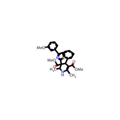 COC(=O)C1=C(C)NC(C)C(C(=O)OC)(c2nc(-c3cccc(OC)c3)cs2)C1c1ccccc1